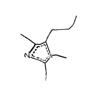 CCCc1c(C)nc(I)n1C